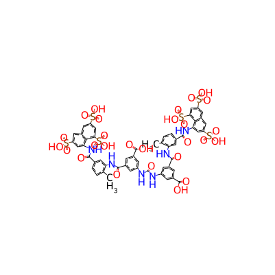 Cc1ccc(C(=O)Nc2cc(S(=O)(=O)O)cc3cc(S(=O)(=O)O)cc(S(=O)(=O)O)c23)cc1NC(=O)c1cc(NC(=O)Nc2cc(C(=O)O)cc(C(=O)Nc3cc(C(=O)Nc4cc(S(=O)(=O)O)cc5cc(S(=O)(=O)O)cc(S(=O)(=O)O)c45)ccc3C)c2)cc(C(=O)O)c1